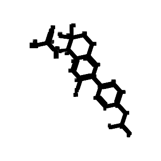 CC(C)Cc1ccc(-c2cc3c(cc2F)[C@H](NC(=O)O)C(C)(C)CC3)cc1